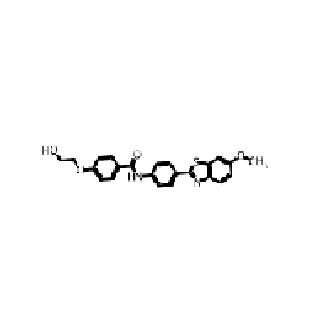 COc1ccc2nc(-c3ccc(NC(=O)c4ccc(OCCO)cc4)cc3)sc2c1